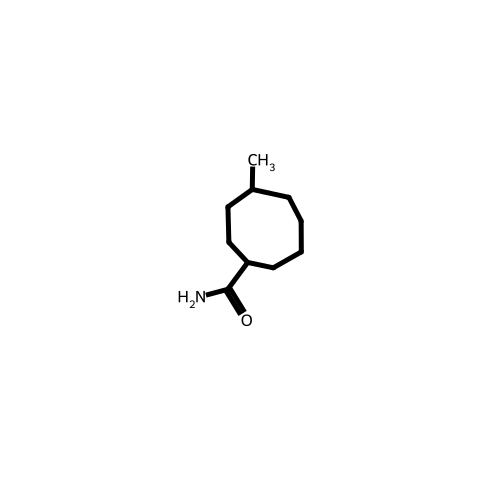 CC1CCCCC(C(N)=O)CC1